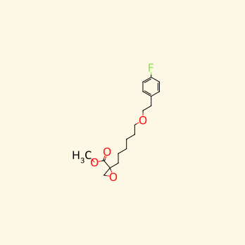 COC(=O)C1(CCCCCCOCCc2ccc(F)cc2)CO1